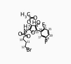 CC(=O)Oc1c(NS(=O)(=O)CCCBr)oc(-c2cc(F)ccc2F)c1O